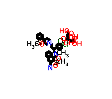 CN(CC(CCN1CCC(c2ccccc2[S@+](C)[O-])CC1)c1ccc(Cl)c(Cl)c1)C(=O)c1c([S+](C)[O-])c(C#N)cc2ccccc12.O=C(O)CC(O)(CC(=O)O)C(=O)O